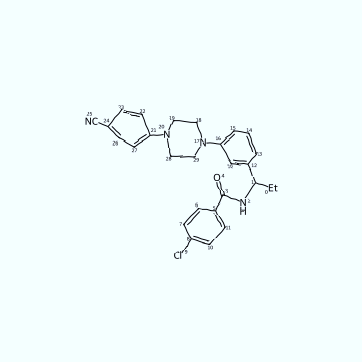 CCC(NC(=O)c1ccc(Cl)cc1)c1cccc(N2CCN(c3ccc(C#N)cc3)CC2)c1